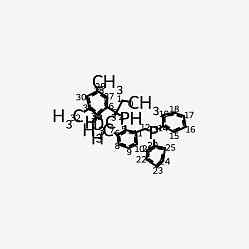 CCC(C)(Pc1c(C)cccc1CP(c1ccccc1)c1ccccc1)c1cc(C)cc(C)c1O